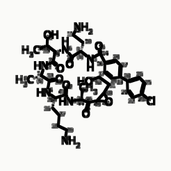 C[C@H](NC(=O)[C@@H](NC(=O)[C@H](CCN)NC(=O)c1ccc(-c2ccc(Cl)cc2)cc1)[C@@H](C)O)C(=O)N[C@@H](CCCCN)C(=O)N[C@@H](C)C(=O)C1OC1CCO